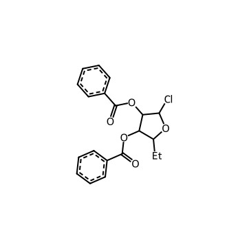 CCC1OC(Cl)C(OC(=O)c2ccccc2)C1OC(=O)c1ccccc1